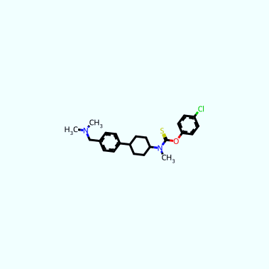 CN(C)Cc1ccc(C2CCC(N(C)C(=S)Oc3ccc(Cl)cc3)CC2)cc1